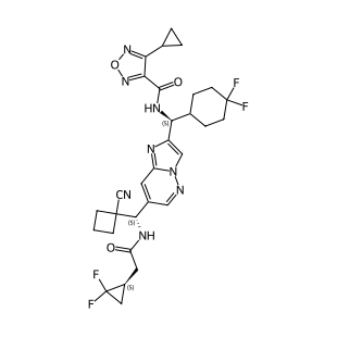 N#CC1([C@@H](NC(=O)C[C@H]2CC2(F)F)c2cnn3cc([C@@H](NC(=O)c4nonc4C4CC4)C4CCC(F)(F)CC4)nc3c2)CCC1